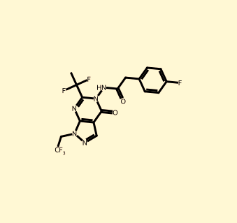 CC(F)(F)c1nc2c(cnn2CC(F)(F)F)c(=O)n1NC(=O)Cc1ccc(F)cc1